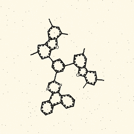 Cc1cc(C)c2oc3c(-c4cc(-c5cnc6c7ccccc7c7ccccc7c6n5)cc(-c5cc(C)cc6c5oc5c(C)cc(C)cc56)c4)cc(C)cc3c2c1